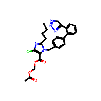 CCCCc1nc(Cl)c(C(=O)OCOC(C)=O)n1Cc1ccc(-c2ccccc2C2=NN=NC2)cc1